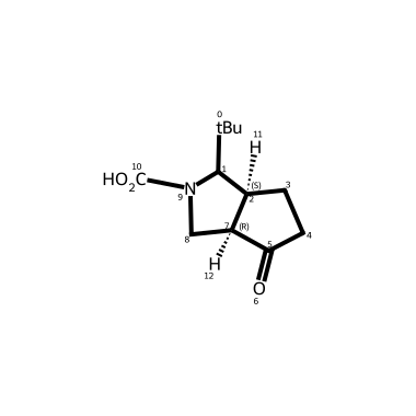 CC(C)(C)C1[C@H]2CCC(=O)[C@H]2CN1C(=O)O